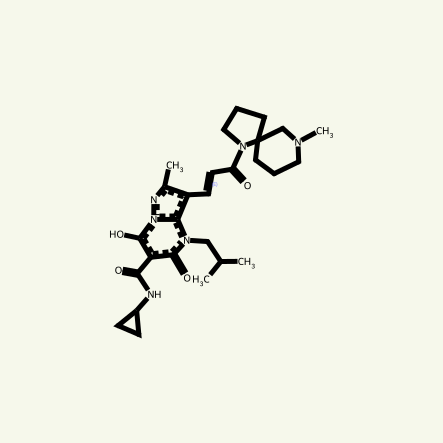 Cc1nn2c(O)c(C(=O)NC3CC3)c(=O)n(CC(C)C)c2c1/C=C/C(=O)N1CCCC12CCCN(C)C2